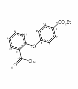 CCOC(=O)c1ccc(Oc2ncccc2C(=O)Cl)cc1